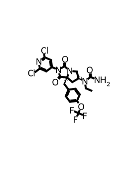 CCN(C(N)=O)[C@@H]1CN2C(=O)N(c3cc(Cl)nc(Cl)c3)C(=O)[C@@]2(Cc2ccc(OC(F)(F)F)cc2)C1